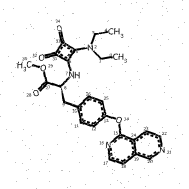 CCN(CC)c1c(N[C@@H](Cc2ccc(Oc3nccc4cnccc34)cc2)C(=O)OC)c(=O)c1=O